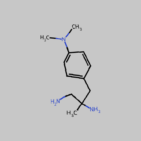 CN(C)c1ccc(CC(C)(N)CN)cc1